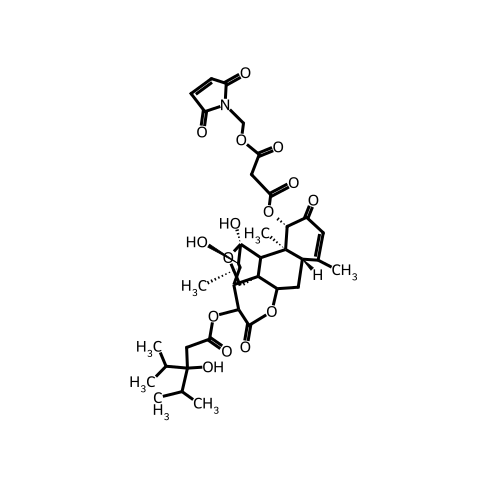 CC1=CC(=O)[C@@H](OC(=O)CC(=O)OCN2C(=O)C=CC2=O)[C@]2(C)C3[C@]45CO[C@]3(O)[C@H](O)[C@H](C)C4C(OC(=O)CC(O)(C(C)C)C(C)C)C(=O)OC5C[C@@H]12